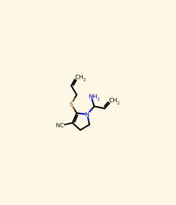 C=CCSC1=C(C#N)CCN1C(N)C=C